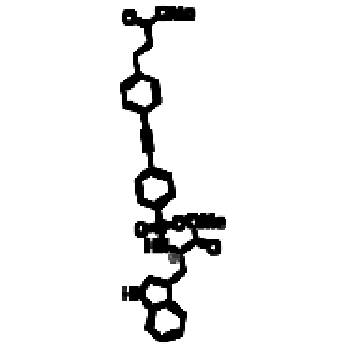 COC(=O)CCc1ccc(C#Cc2ccc(S(=O)(=O)N[C@H](Cc3c[nH]c4ccccc34)C(=O)OC)cc2)cc1